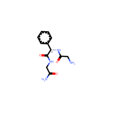 NCC(=O)N[C@H](C(=O)NCC(N)=O)c1ccccc1